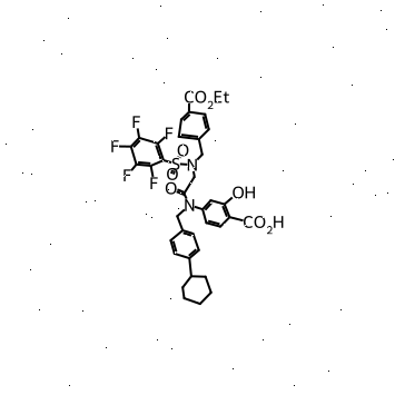 CCOC(=O)c1ccc(CN(CC(=O)N(Cc2ccc(C3CCCCC3)cc2)c2ccc(C(=O)O)c(O)c2)S(=O)(=O)c2c(F)c(F)c(F)c(F)c2F)cc1